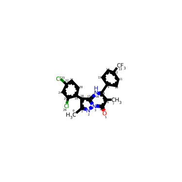 Cc1nn2c(=O)c(C)c(-c3ccc(C(F)(F)F)cc3)[nH]c2c1-c1ccc(Cl)cc1Cl